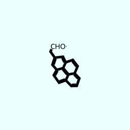 O=[C]Cc1cc2ccc3cccc4ccc(c1)c2c34